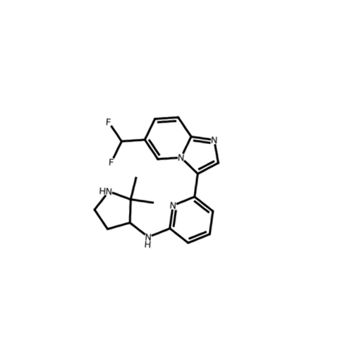 CC1(C)NCCC1Nc1cccc(-c2cnc3ccc(C(F)F)cn23)n1